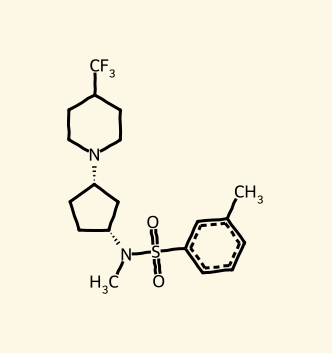 Cc1cccc(S(=O)(=O)N(C)[C@@H]2CC[C@H](N3CCC(C(F)(F)F)CC3)C2)c1